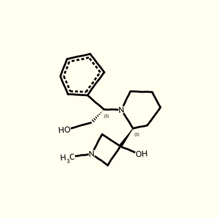 CN1CC(O)([C@@H]2CCCCN2[C@H](CO)c2ccccc2)C1